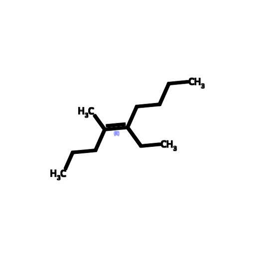 CCCC/C(CC)=C(\C)CCC